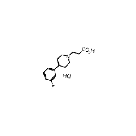 Cl.O=C(O)CCN1CCC(c2cccc(F)c2)CC1